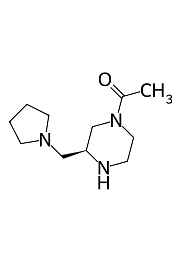 CC(=O)N1CCN[C@@H](CN2CCCC2)C1